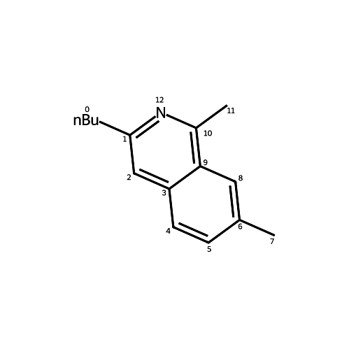 CCCCc1cc2ccc(C)cc2c(C)n1